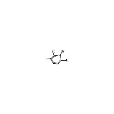 CCc1ccc(C)c(CC)c1Br